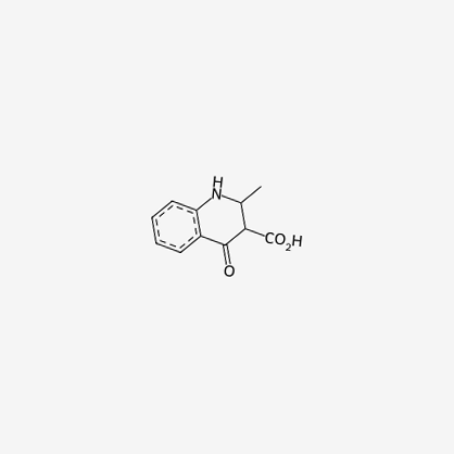 CC1Nc2ccccc2C(=O)C1C(=O)O